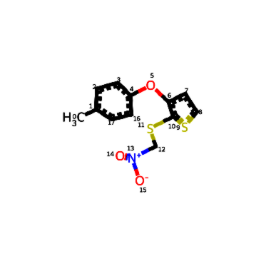 Cc1ccc(Oc2ccsc2SC[N+](=O)[O-])cc1